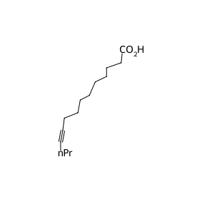 CCCC#CCCCCCCCCC(=O)O